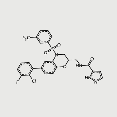 O=C(NC[C@H]1CN(S(=O)(=O)c2cccc(C(F)(F)F)c2)c2cc(-c3cccc(F)c3Cl)ccc2O1)c1ccn[nH]1